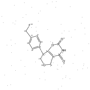 O=c1[nH]c(=O)c2c(o1)C(c1ccc(CF)cc1)COC2